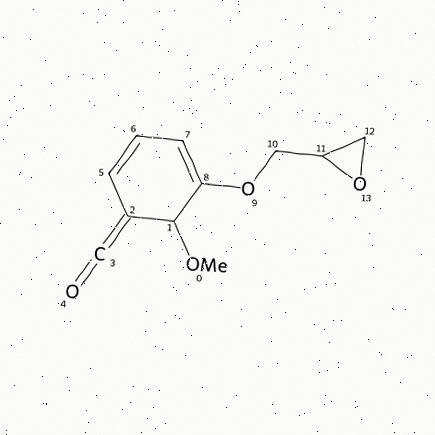 COC1C(=C=O)C=CC=C1OCC1CO1